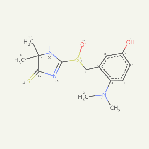 CN(C)c1ccc(O)cc1C[S+]([O-])C1=NC(=S)C(C)(C)N1